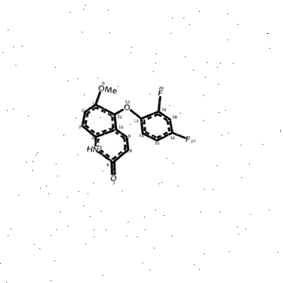 COc1ccc2[nH]c(=O)ccc2c1Oc1ccc(F)cc1F